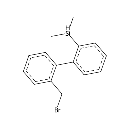 C[SiH](C)c1ccccc1-c1ccccc1CBr